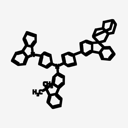 CC1(C)c2ccccc2-c2ccc(N(c3ccc(-c4ccc5c(c4)-c4ccccc4C54CC5CCC6CC5CC4C6)cc3)c3ccc(-n4c5ccccc5c5ccccc54)cc3)cc21